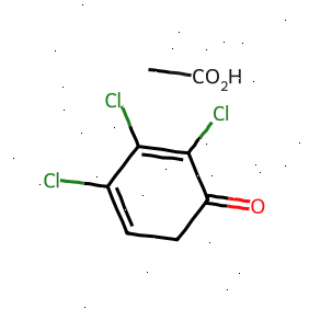 CC(=O)O.O=C1CC=C(Cl)C(Cl)=C1Cl